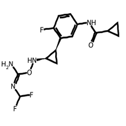 N/C(=N/C(F)F)ON[C@@H]1C[C@@H]1c1cc(NC(=O)C2CC2)ccc1F